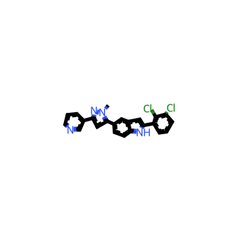 Cn1nc(-c2cccnc2)cc1-c1ccc2[nH]c(-c3cccc(Cl)c3Cl)cc2c1